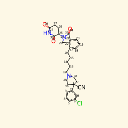 N#CC1(c2cccc(Cl)c2)CCN(CCCCCc2cccc3c2CN(C2CCC(=O)NC2=O)C3=O)CC1